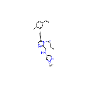 C=C/C=C\n1c(C#Cc2cc(C=C)ccc2C)cnc1CNc1cnn(CCC)c1